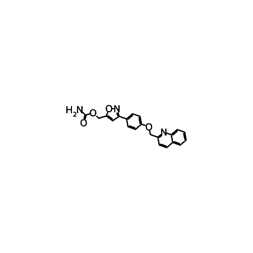 NC(=O)OCc1cc(-c2ccc(OCc3ccc4ccccc4n3)cc2)no1